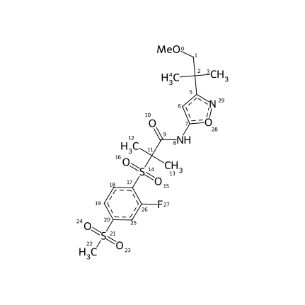 COCC(C)(C)c1cc(NC(=O)C(C)(C)S(=O)(=O)c2ccc(S(C)(=O)=O)cc2F)on1